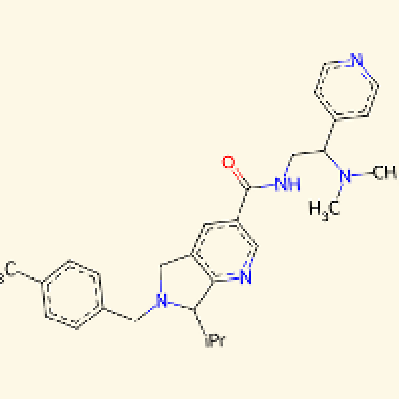 CC(C)C1c2ncc(C(=O)NCC(c3ccncc3)N(C)C)cc2CN1Cc1ccc(C(F)(F)F)cc1